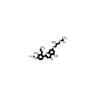 CCCc1c(-c2cc(=O)c3c(O)cc(OC[C@@H](O)COC(C)=O)cc3o2)ccc(OC)c1O